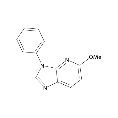 COc1ccc2n[c]n(-c3ccccc3)c2n1